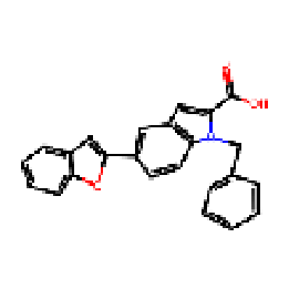 O=C(O)c1cc2cc(-c3cc4ccccc4o3)ccc2n1Cc1ccccc1